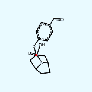 O=Cc1ccc(OC2CC3CCC(C2)N3C(=O)O)cc1